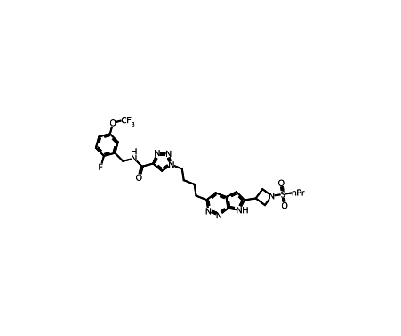 CCCS(=O)(=O)N1CC(c2cc3cc(CCCCn4cc(C(=O)NCc5cc(OC(F)(F)F)ccc5F)nn4)nnc3[nH]2)C1